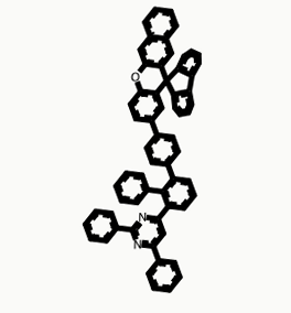 c1ccc(-c2cc(-c3cccc(-c4ccc(-c5ccc6c(c5)C5(c7cc8ccccc8cc7O6)c6ccccc6-c6ccccc65)cc4)c3-c3ccccc3)nc(-c3ccccc3)n2)cc1